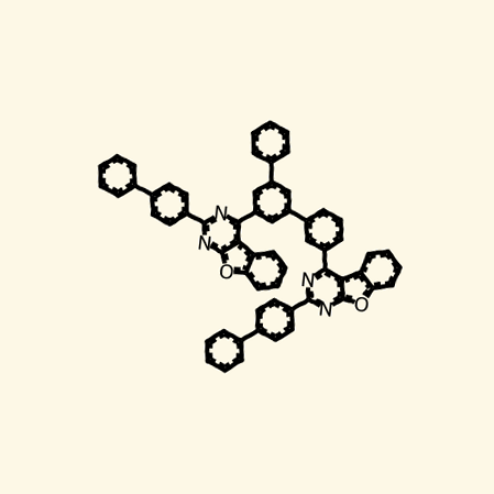 c1ccc(-c2ccc(-c3nc(-c4cccc(-c5cc(-c6ccccc6)cc(-c6nc(-c7ccc(-c8ccccc8)cc7)nc7oc8ccccc8c67)c5)c4)c4c(n3)oc3ccccc34)cc2)cc1